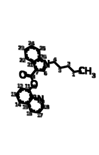 CCCCCn1cc(C(=O)Oc2cccc3cccnc23)c2ccccc21